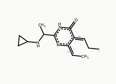 C/C=c1/nc(C(C)NC2CC2)[nH]c(=O)/c1=C/CI